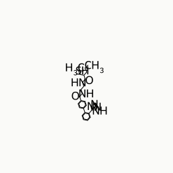 CC(C)CC(CS)C(=O)NCCNC(=O)c1ccc(-c2ccccc2-c2nnn[nH]2)cc1